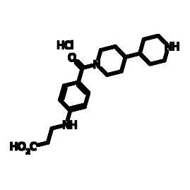 Cl.O=C(O)CCNc1ccc(C(=O)N2CCC(C3CCNCC3)CC2)cc1